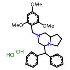 COc1cc(OC)c(CN2CC3CCCN3C(C(c3ccccc3)c3ccccc3)C2)c(OC)c1.Cl.Cl